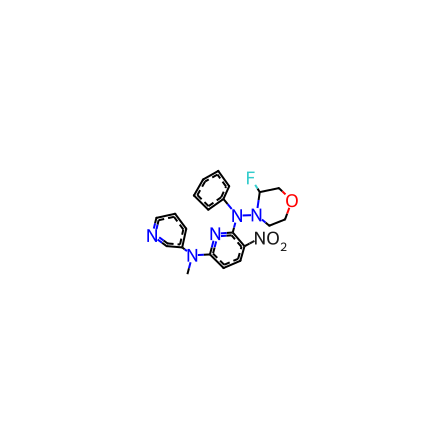 CN(c1cccnc1)c1ccc([N+](=O)[O-])c(N(c2ccccc2)N2CCOCC2F)n1